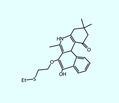 CCSCCOC1=C(O)c2ccccc2C2C1=C(C)NC1=C2C(=O)CC(C)(C)C1